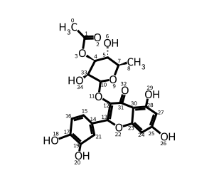 CC(=O)O[C@H]1[C@H](O)[C@@H](C)OC(Oc2c(-c3ccc(O)c(O)c3)oc3cc(O)cc(O)c3c2=O)[C@H]1O